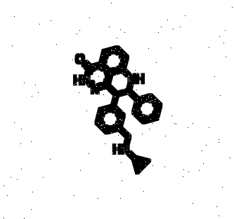 O=c1[nH]nc2c3c(cccc13)NC(c1ccccc1)C2c1cccc(CNC2CC2)c1